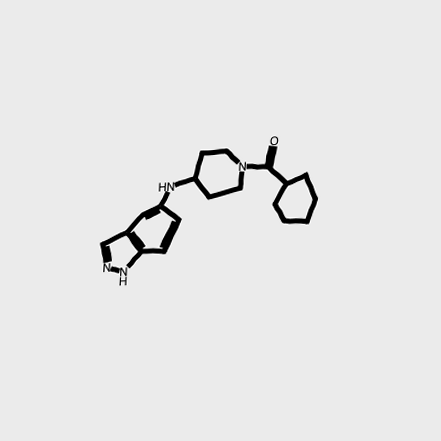 O=C(C1CCCCC1)N1CCC(Nc2ccc3[nH]ncc3c2)CC1